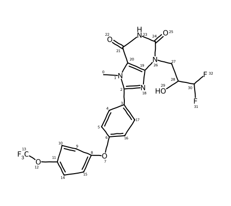 Cn1c(-c2ccc(Oc3ccc(OC(F)(F)F)cc3)cc2)nc2c1c(=O)[nH]c(=O)n2CC(O)C(F)F